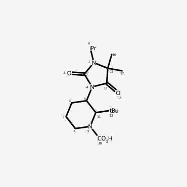 CC(C)N1C(=O)N(C2CCCN(C(=O)O)C2C(C)(C)C)C(=O)C1(C)C